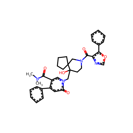 CN(C)C(=O)c1cn(CC2(O)CCN(C(=O)c3ncoc3-c3ccccc3)CC23CCCC3)c(=O)cc1-c1ccccc1